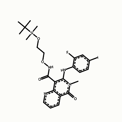 Cn1c(Nc2ccc(I)cc2F)c(C(=O)NOCCO[Si](C)(C)C(C)(C)C)c2ncccc2c1=O